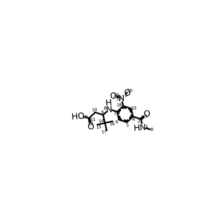 CNC(=O)c1ccc(NC(CC(=O)O)C(C)(C)C)c([N+](=O)[O-])c1